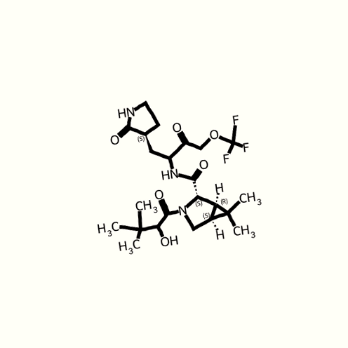 CC(C)(C)C(O)C(=O)N1C[C@H]2[C@@H]([C@H]1C(=O)NC(C[C@@H]1CCNC1=O)C(=O)COC(F)(F)F)C2(C)C